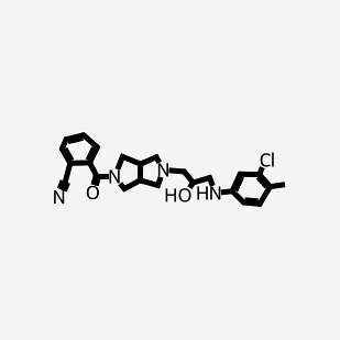 Cc1ccc(NCC(O)CN2CC3CN(C(=O)c4ccccc4C#N)CC3C2)cc1Cl